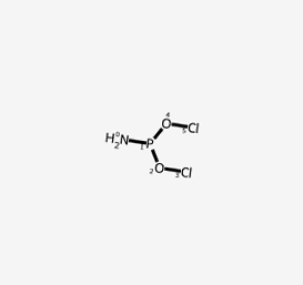 NP(OCl)OCl